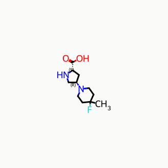 CC1(F)CCN([C@H]2CN[C@H](C(=O)O)C2)CC1